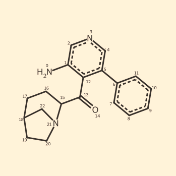 Nc1cn[c]c(-c2ccccc2)c1C(=O)C1CCC2CCN1C2